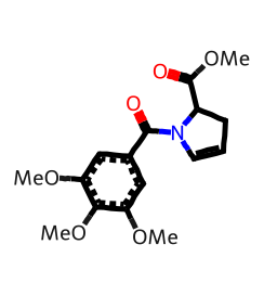 COC(=O)C1CC=CN1C(=O)c1cc(OC)c(OC)c(OC)c1